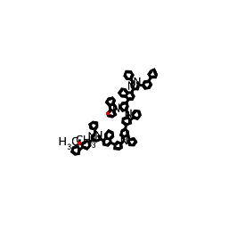 CC1(C)c2ccccc2-c2ccc(-c3cc(-c4ccc(-c5cccc(-n6c7ccccc7c7cc(-c8ccc9c(c8)c8ccccc8n9-c8cc(-c9ccc(-c%10cc(-c%11cccc(-c%12ccccc%12)c%11)nc(-c%11ccccc%11)n%10)c%10ccccc9%10)cc(-n9c%10ccccc%10c%10ccccc%109)c8)ccc76)c5)c5ccccc45)nc(-c4ccccc4)n3)cc21